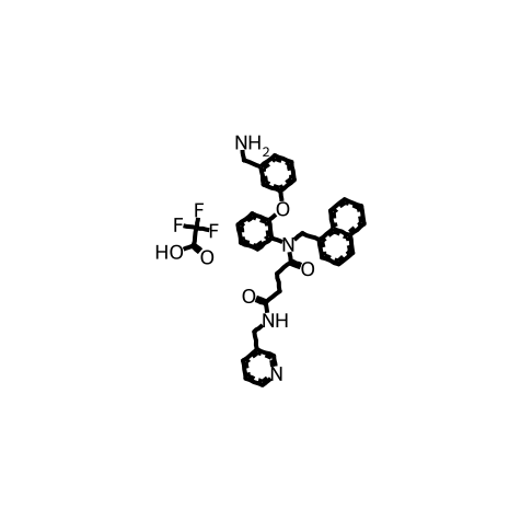 NCc1cccc(Oc2ccccc2N(Cc2cccc3ccccc23)C(=O)CCC(=O)NCc2cccnc2)c1.O=C(O)C(F)(F)F